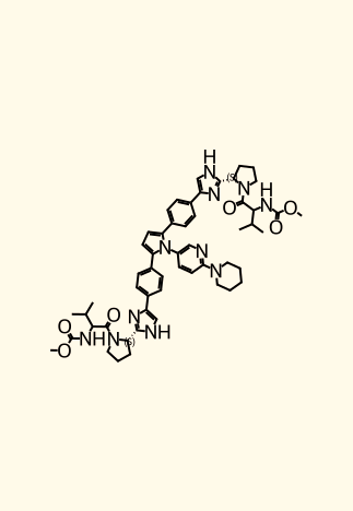 COC(=O)NC(C(=O)N1CCC[C@H]1c1nc(-c2ccc(-c3ccc(-c4ccc(-c5c[nH]c([C@@H]6CCCN6C(=O)C(NC(=O)OC)C(C)C)n5)cc4)n3-c3ccc(N4CCCCC4)nc3)cc2)c[nH]1)C(C)C